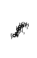 C[C@@]1(O)CC[C@@]2(C)[C@H](CC[C@@H]3[C@@H]2CC[C@]2(C)[C@@H](C(=O)Cn4nnc5cc(F)c(F)cc54)CC[C@@H]32)C1